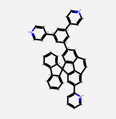 c1ccc(-c2cc3c4c(ccc5cc(-c6cc(-c7ccncc7)cc(-c7ccncc7)c6)cc(c54)C34c3ccccc3-c3ccccc34)c2)nc1